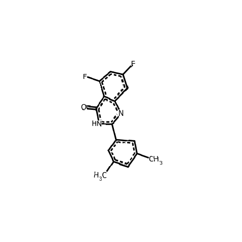 Cc1cc(C)cc(-c2nc3cc(F)cc(F)c3c(=O)[nH]2)c1